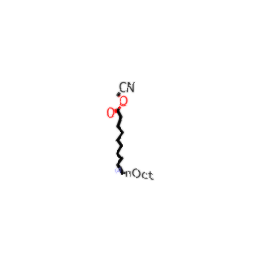 CCCCCCCC/C=C\CCCCCCCC(=O)OCC#N